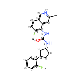 Cc1cc2c(NC(=O)N[C@@H]3CC[C@@H](c4ccccc4F)C3)c(F)ccc2cn1